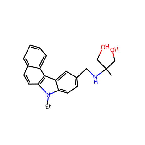 CCn1c2ccc(CNC(C)(CO)CO)cc2c2c3ccccc3ccc21